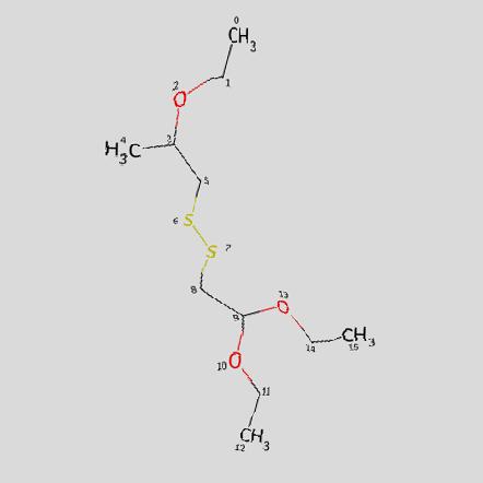 CCOC(C)CSSCC(OCC)OCC